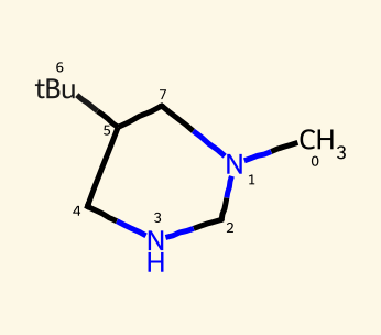 CN1CNCC(C(C)(C)C)C1